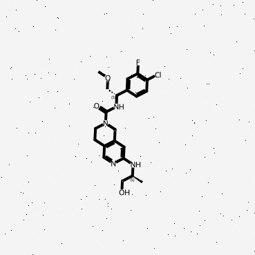 COC[C@@H](NC(=O)N1CCc2cnc(N[C@@H](C)CO)cc2C1)c1ccc(Cl)c(F)c1